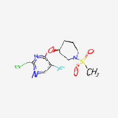 CS(=O)(=O)N1CC[C@H](Oc2nc(Cl)ncc2F)C1